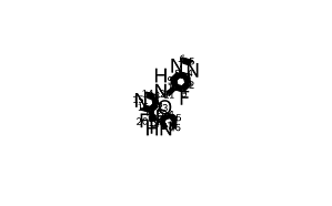 Fc1cc2nccnc2cc1CNc1cncc(C(F)(F)F)c1OC1CCNC1